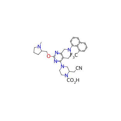 CN1CCCC1COc1nc2c(c(N3CCN(C(=O)O)C(CC#N)C3)n1)CCN(c1cccc3cccc(C(F)(F)F)c13)C2